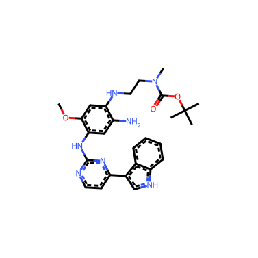 COc1cc(NCCN(C)C(=O)OC(C)(C)C)c(N)cc1Nc1nccc(-c2c[nH]c3ccccc23)n1